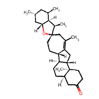 CC1=C2C[C@H]3[C@@H](CC[C@@H]4CC(=O)CC[C@@]43C)[C@@H]2CC[C@@]2(C1)O[C@@H]1C[C@H](C)CC(C)[C@H]1[C@H]2C